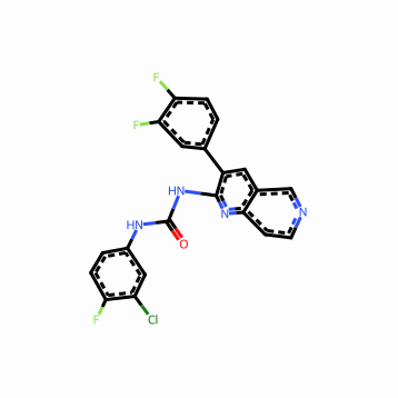 O=C(Nc1ccc(F)c(Cl)c1)Nc1nc2ccncc2cc1-c1ccc(F)c(F)c1